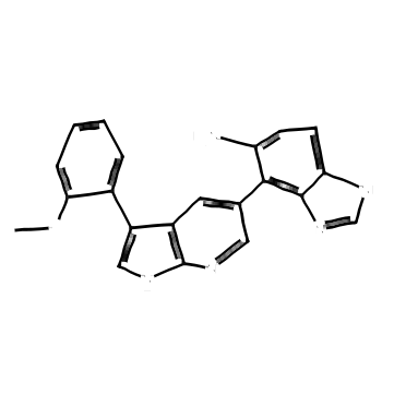 COc1ccccc1-c1c[nH]c2ncc(-c3c(N)ccc4[nH]cnc34)cc12